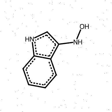 ONc1c[nH]c2ccccc12